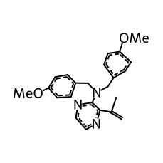 C=C(C)c1nccnc1N(Cc1ccc(OC)cc1)Cc1ccc(OC)cc1